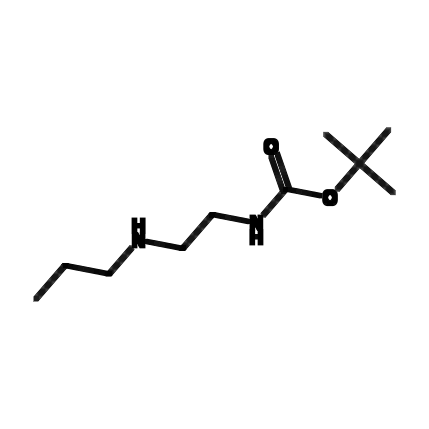 CCCNCCNC(=O)OC(C)(C)C